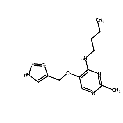 CCCCNc1nc(C)ncc1OCc1c[nH]nn1